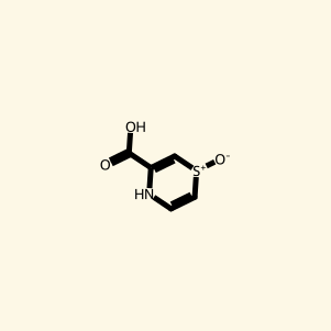 O=C(O)C1=C[S+]([O-])C=CN1